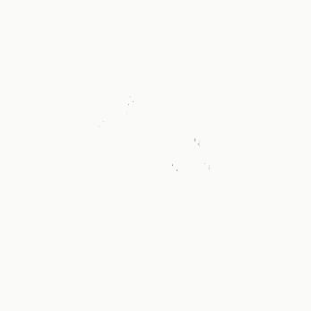 Clc1cccc(-c2nnc3n2CCCS3)c1